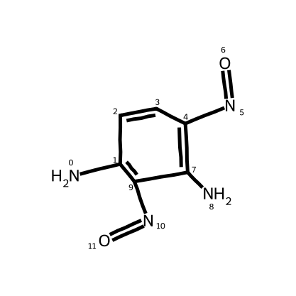 Nc1ccc(N=O)c(N)c1N=O